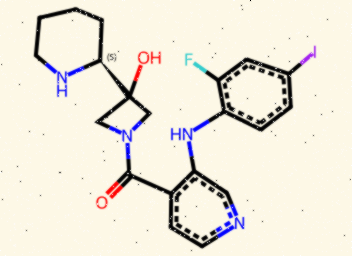 O=C(c1ccncc1Nc1ccc(I)cc1F)N1CC(O)([C@@H]2CCCCN2)C1